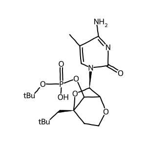 Cc1cn([C@@H]2O[C@@]3(CC(C)(C)C)CCOC2C3OP(=O)(O)OC(C)(C)C)c(=O)nc1N